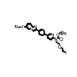 COc1ccc2nc(-c3ccc(-c4ccc(N(CCOCCI)C(=O)OC(C)(C)C)nc4)cc3)cn2c1